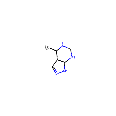 CC1NCNC2NN=CC12